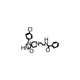 O=C(NCCN1CCC2(CC1)C(=O)NCN2c1ccc(Cl)cc1)c1ccccc1